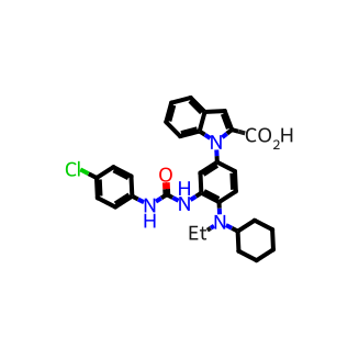 CCN(c1ccc(-n2c(C(=O)O)cc3ccccc32)cc1NC(=O)Nc1ccc(Cl)cc1)C1CCCCC1